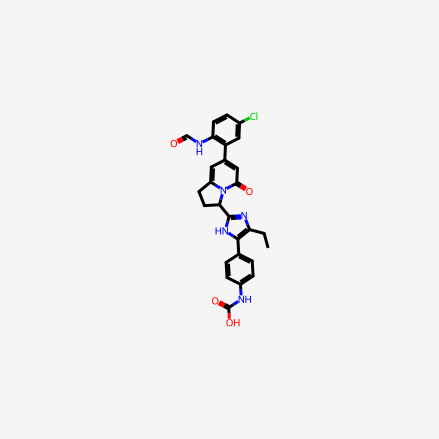 CCc1nc(C2CCc3cc(-c4cc(Cl)ccc4NC=O)cc(=O)n32)[nH]c1-c1ccc(NC(=O)O)cc1